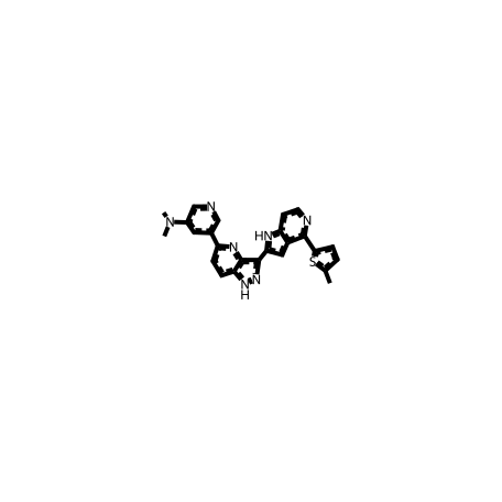 Cc1ccc(-c2nccc3[nH]c(-c4n[nH]c5ccc(-c6cncc(N(C)C)c6)nc45)cc23)s1